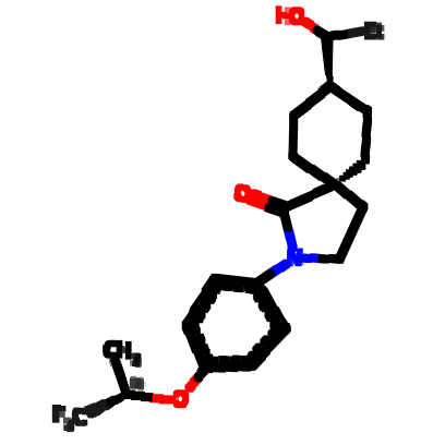 CCC(O)[C@H]1CC[C@@]2(CCN(c3ccc(O[C@H](C)C(F)(F)F)cc3)C2=O)CC1